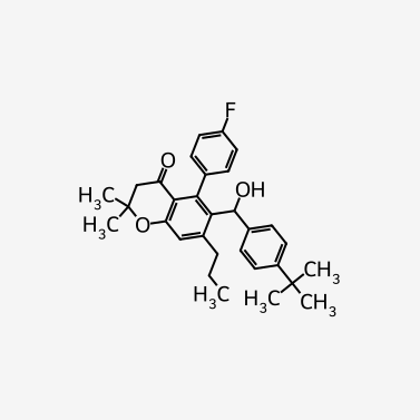 CCCc1cc2c(c(-c3ccc(F)cc3)c1C(O)c1ccc(C(C)(C)C)cc1)C(=O)CC(C)(C)O2